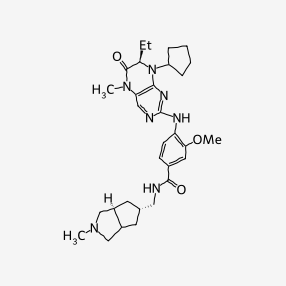 CC[C@@H]1C(=O)N(C)c2cnc(Nc3ccc(C(=O)NC[C@@H]4CC5CN(C)C[C@H]5C4)cc3OC)nc2N1C1CCCC1